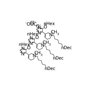 CCCCCCCCCCCCCCC[N+]1(C)CCC=C(c2nsnc2OCCCCCC)C1.CCCCCCCCCCCCCCC[N+]1(C)CCC=C(c2nsnc2OCCCCCC)C1.CCCCCCCCCCCCCCC[N+]1(C)CCC=C(c2nsnc2OCCCCCC)C1.O=C([O-])[O-].[Cl-]